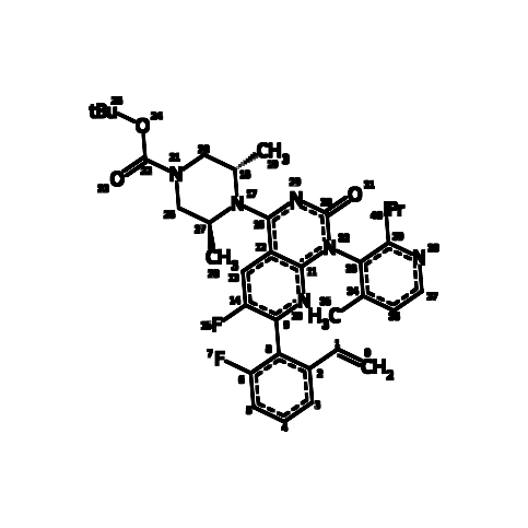 C=Cc1cccc(F)c1-c1nc2c(cc1F)c(N1[C@@H](C)CN(C(=O)OC(C)(C)C)C[C@@H]1C)nc(=O)n2-c1c(C)ccnc1C(C)C